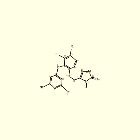 CCc1cc(C#N)cc(Oc2c(OCc3n[nH]c(=O)n3C)ccc(CC)c2F)c1